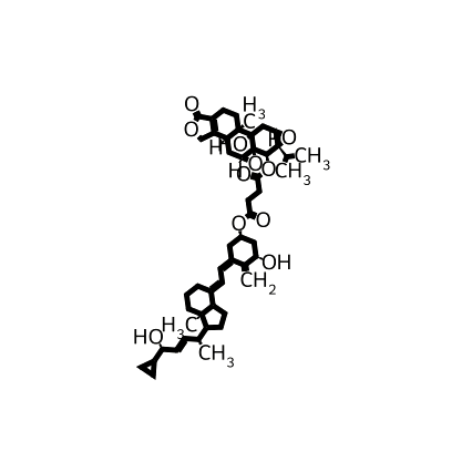 C=C1/C(=C\C=C2/CCC[C@@]3(C)C2CCC3[C@@H](C)/C=C/[C@@H](O)C2CC2)C[C@@H](OC(=O)CCC(=O)O[C@@H]2[C@@]3(C(C)C)O[C@H]3C[C@]3(O)[C@]24O[C@H]4C[C@H]2C4=C(CC[C@@]23C)C(=O)OC4)C[C@@H]1O